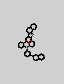 C1=CCC(N(c2cccc(-c3ccc4ccccc4c3)c2)c2ccccc2-c2ccc3oc4c5ccccc5ccc4c3c2)C=C1